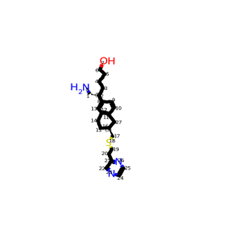 NC[C@H](CCCCO)c1ccc2c(c1)CC[C@H](CSCCc1cnccn1)C2